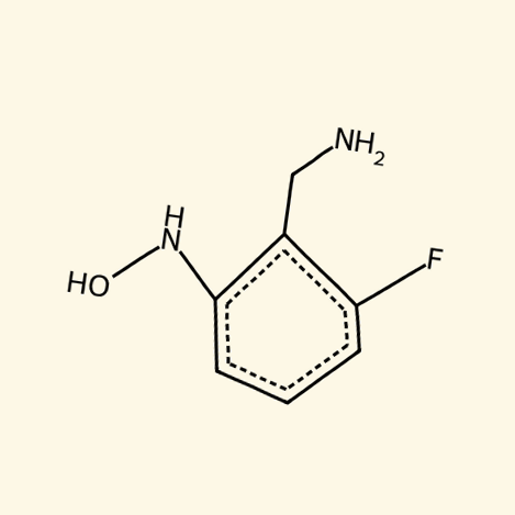 NCc1c(F)cccc1NO